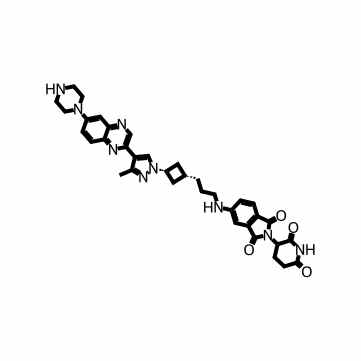 Cc1nn([C@H]2C[C@@H](CCCNc3ccc4c(c3)C(=O)N(C3CCC(=O)NC3=O)C4=O)C2)cc1-c1cnc2cc(N3CCNCC3)ccc2n1